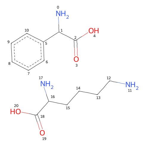 NC(C(=O)O)c1ccccc1.NCCCCC(N)C(=O)O